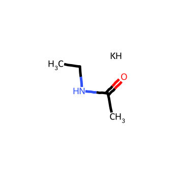 CCNC(C)=O.[KH]